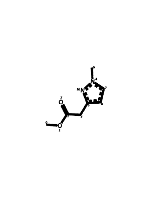 COC(=O)Cc1ccn(C)n1